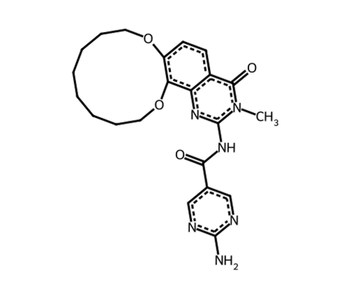 Cn1c(NC(=O)c2cnc(N)nc2)nc2c3c(ccc2c1=O)OCCCCCCCCO3